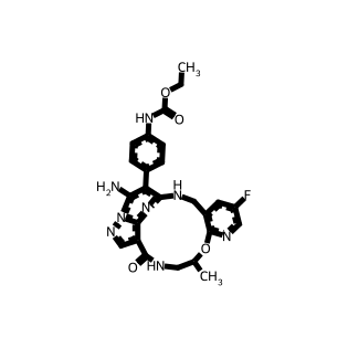 CCOC(=O)Nc1ccc(-c2c3nc4c(cnn4c2N)C(=O)NCC(C)Oc2ncc(F)cc2CN3)cc1